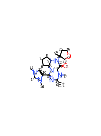 CCC(/N=C(\N=C1CCCC1)C1=CN(C)CN1C)N(C)CC(=O)NC1(C)CCOC1